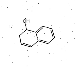 OC1CC=Cc2ccccc21